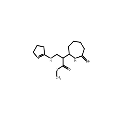 COC(=O)C(CNC1=NCCC1)C1CCCCC(=N)N1